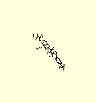 C=N/C(NC[C@@H]1CCN(CC(N)=O)C[C@]1(C)O)=C(F)\C(=N/C)N1CCC1c1ccc(C(F)(F)F)cc1